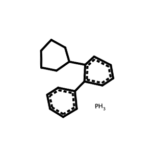 P.c1ccc(-c2ccccc2C2CCCCC2)cc1